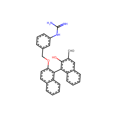 N=C(N)Nc1cccc(COc2ccc3ccccc3c2-c2c(O)c(C=O)cc3ccccc23)c1